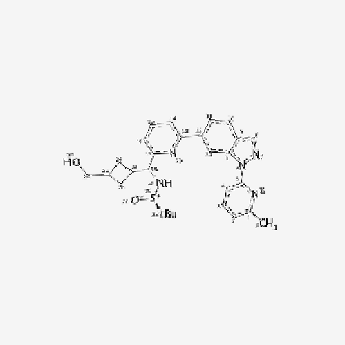 Cc1cccc(-n2ncc3ccc(-c4cccc([C@H](N[S@+]([O-])C(C)(C)C)C5CC(CO)C5)n4)cc32)n1